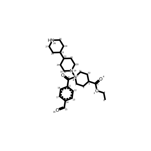 CCOC(=O)C1CC[N+](C(=O)c2ccc([C]=O)cc2)(N2CCC(C3CCNCC3)CC2)CC1